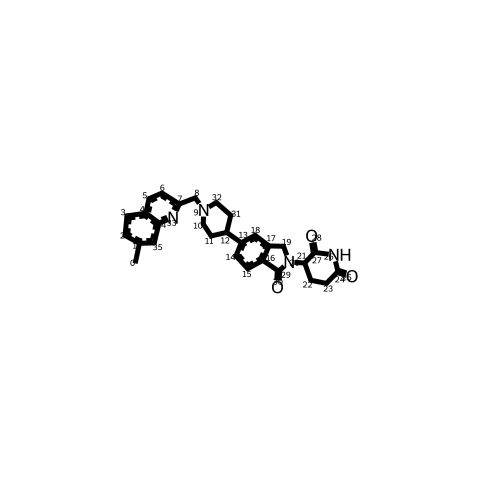 Cc1ccc2ccc(CN3CCC(c4ccc5c(c4)CN(C4CCC(=O)NC4=O)C5=O)CC3)nc2c1